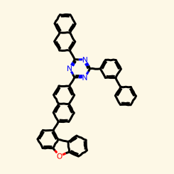 c1ccc(-c2cccc(-c3nc(-c4ccc5ccccc5c4)nc(-c4ccc5cc(-c6cccc7oc8ccccc8c67)ccc5c4)n3)c2)cc1